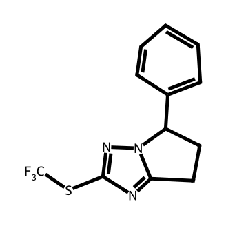 FC(F)(F)Sc1nc2n(n1)C(c1ccccc1)CC2